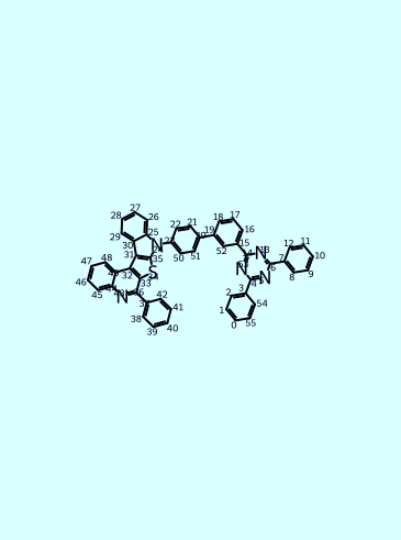 c1ccc(-c2nc(-c3ccccc3)nc(-c3cccc(-c4ccc(-n5c6ccccc6c6c7c(sc65)c(-c5ccccc5)nc5ccccc57)cc4)c3)n2)cc1